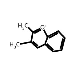 Cc1cc2ccccc2[o+]c1C